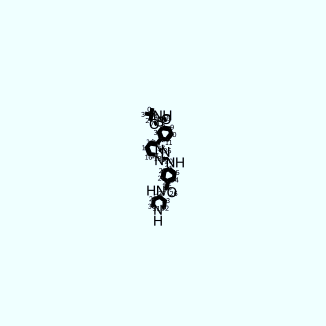 CC(C)(C)NS(=O)(=O)c1cccc(-c2cccc3nc(Nc4ccc(C(=O)NC5CCNCC5)cc4)nn23)c1